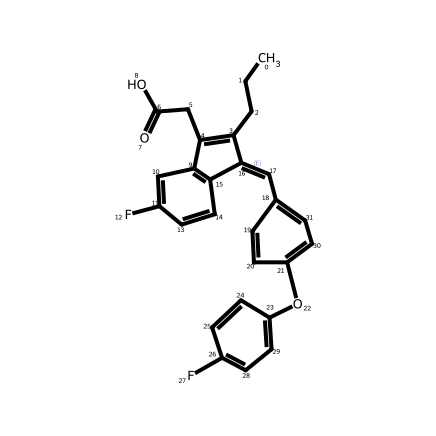 CCCC1=C(CC(=O)O)c2cc(F)ccc2/C1=C\c1ccc(Oc2ccc(F)cc2)cc1